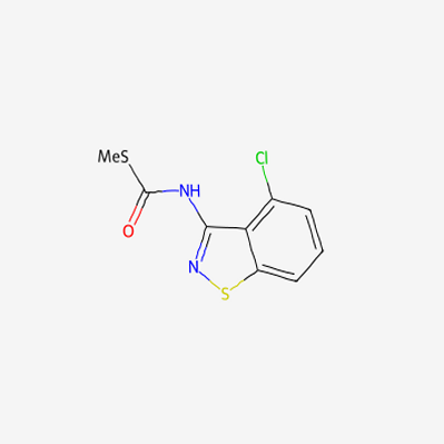 CSC(=O)Nc1nsc2cccc(Cl)c12